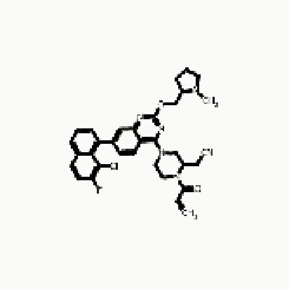 C=CC(=O)N1CCN(c2nc(OCC3CCCN3C)nc3cc(-c4cccc5ccc(F)c(Cl)c45)ccc23)CC1CC#N